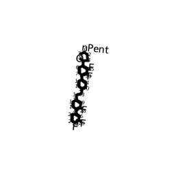 CCCCCC1CCC(c2ccc(-c3ccc(CCc4ccc(-c5ccc(F)c(F)c5)c(F)c4)cc3)c(F)c2F)OC1